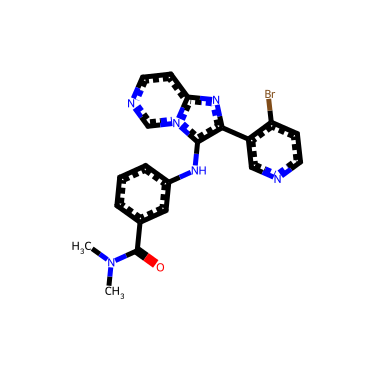 CN(C)C(=O)c1cccc(Nc2c(-c3cnccc3Br)nc3ccncn23)c1